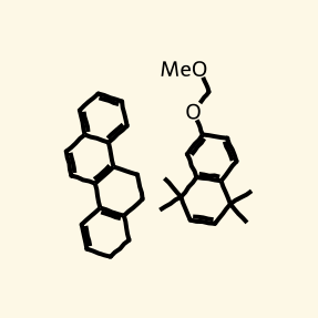 C1=CC2=C(CC1)CCc1c2ccc2ccccc12.COCOc1ccc2c(c1)C(C)(C)C=CC2(C)C